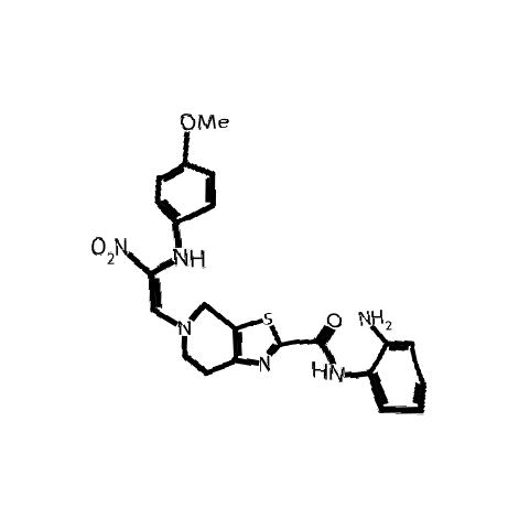 COc1ccc(NC(=CN2CCc3nc(C(=O)Nc4ccccc4N)sc3C2)[N+](=O)[O-])cc1